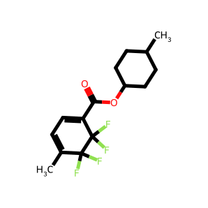 CC1=CC=C(C(=O)OC2CCC(C)CC2)C(F)(F)C1(F)F